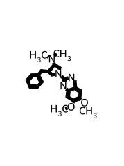 COc1cc2cnc(N3CC(Cc4ccccc4)C(N(C)C)C3)nc2cc1OC